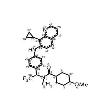 COC1CCC(C(=O)N(C)[C@H](c2ccc(Nc3cnc4cccnc4c3C3CC3)cc2)C(F)(F)F)CC1